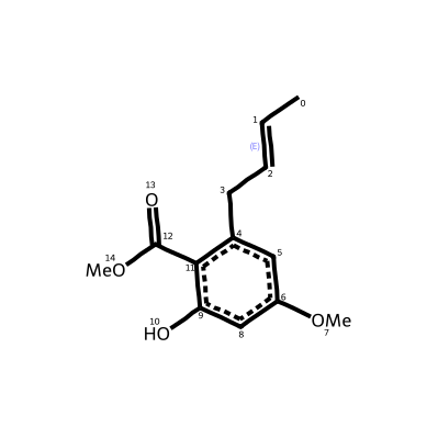 C/C=C/Cc1cc(OC)cc(O)c1C(=O)OC